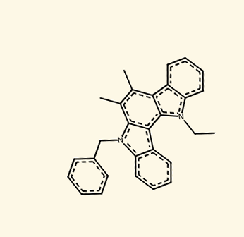 CCn1c2ccccc2c2c(C)c(C)c3c(c4ccccc4n3Cc3ccccc3)c21